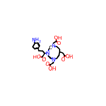 Nc1ccc(CCC(C(=O)O)N2CCN(CC(=O)O)CCC(CC(=O)O)CCN(CC(=O)O)CC2)cc1